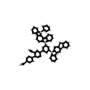 N#Cc1ccc(-c2ccc(-c3cc(-n4c5ccccc5c5cc6c(cc54)Cc4ccccc4-6)cc(-n4c5ccccc5c5c4ccc4c6ccccc6n(-c6ccccc6)c45)c3)cc2C#N)cc1